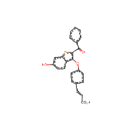 O=C(O)/C=C/c1ccc(Oc2c(C(=O)c3ccccc3)sc3cc(O)ccc23)cc1